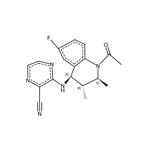 CC(=O)N1c2ccc(F)cc2[C@H](Nc2nccnc2C#N)[C@@H](C)[C@@H]1C